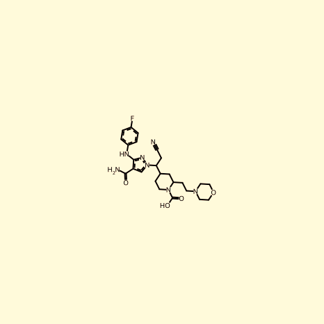 N#CCC(C1CCN(C(=O)O)C(CCN2CCOCC2)C1)n1cc(C(N)=O)c(Nc2ccc(F)cc2)n1